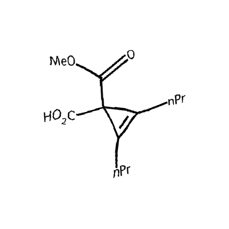 CCCC1=C(CCC)C1(C(=O)O)C(=O)OC